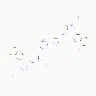 CSc1nc(N=Nc2c(C)nn(-c3nc(O)nc(-n4nc(C)c(N=Nc5nc(SC)nn5-c5ccc(C(=O)O)c(C(=O)O)c5)c4O)n3)c2O)n(-c2ccc(C(=O)O)c(C(=O)O)c2)n1